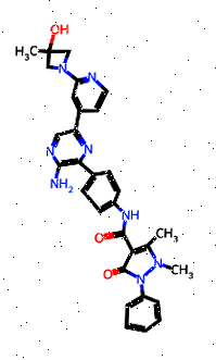 Cc1c(C(=O)Nc2ccc(-c3nc(-c4ccnc(N5CC(C)(O)C5)c4)cnc3N)cc2)c(=O)n(-c2ccccc2)n1C